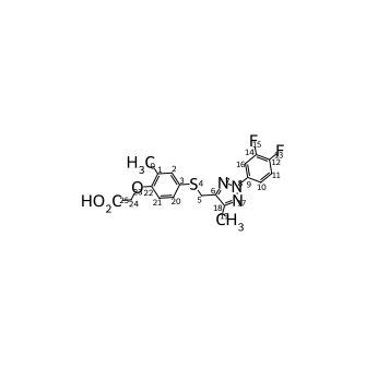 Cc1cc(SCc2nn(-c3ccc(F)c(F)c3)nc2C)ccc1OCC(=O)O